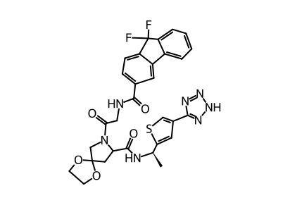 C[C@@H](NC(=O)C1CC2(CN1C(=O)CNC(=O)c1ccc3c(c1)-c1ccccc1C3(F)F)OCCO2)c1cc(-c2nn[nH]n2)cs1